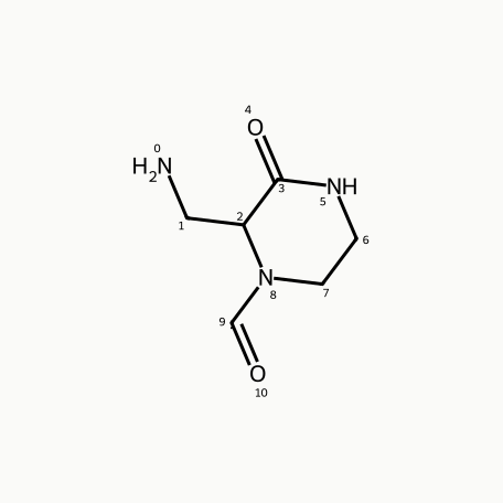 NCC1C(=O)NCCN1[C]=O